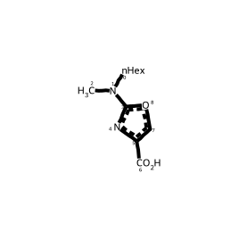 CCCCCCN(C)c1nc(C(=O)O)co1